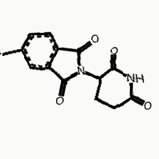 O=C1CCC(N2C(=O)c3ccc(Br)cc3C2=O)C(=O)N1